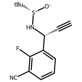 C#C[C@@H](N[S@@+]([O-])C(C)(C)C)c1cccc(C#N)c1F